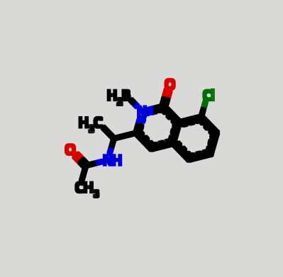 Bn1c(C(C)NC(C)=O)cc2cccc(Cl)c2c1=O